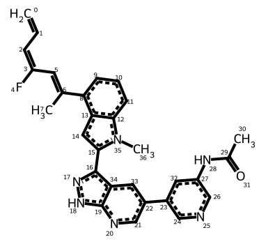 C=C/C=C(F)\C=C(/C)c1cccc2c1cc(-c1n[nH]c3ncc(-c4cncc(NC(C)=O)c4)cc13)n2C